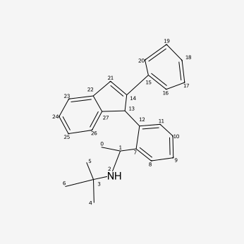 CC(NC(C)(C)C)c1ccccc1C1C(c2ccccc2)=Cc2ccccc21